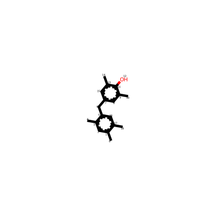 Cc1cc(C)c(Cc2cc(C)c(O)c(C)c2)cc1C